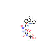 CON=C(C(=O)NC1C(=O)N2CC(CI)(C(=O)O)C[S+]([O-])[C@H]12)c1csc(NC(c2ccccc2)(c2ccccc2)c2ccccc2)n1